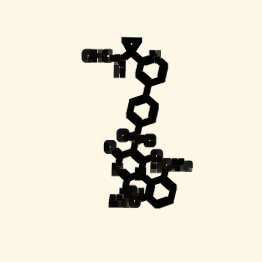 CCCCc1nc(=O)c(S(=O)(=O)c2ccc(-c3ccnc(C4(NC=O)CC4)c3)cc2)c(O)n1-c1c(OC)cccc1OC